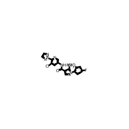 COc1cc(F)ccc1-n1ncc(C(=O)Nc2cnc(-n3nccn3)c(Cl)c2)c1C(F)(F)F